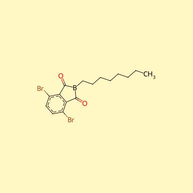 CCCCCCCCB1C(=O)c2c(Br)ccc(Br)c2C1=O